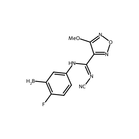 Bc1cc(N/C(=N\C#N)c2nonc2OC)ccc1F